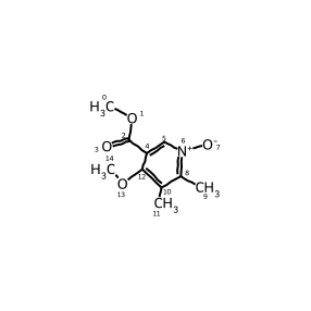 COC(=O)c1c[n+]([O-])c(C)c(C)c1OC